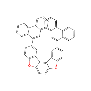 c1ccc2c(c1)cc(-c1ccc3oc4ccc5oc6ccc(-c7cc8ccccc8c8ccccc78)cc6c5c4c3c1)c1ccccc12